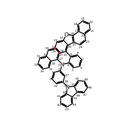 c1cc(N(c2ccccc2-c2cccc3oc4c5ccccc5ccc4c23)c2cccc3ccccc23)cc(-n2c3ccccc3c3ccccc32)c1